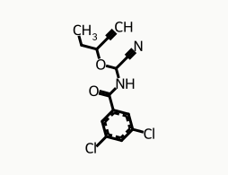 C#CC(CC)OC(C#N)NC(=O)c1cc(Cl)cc(Cl)c1